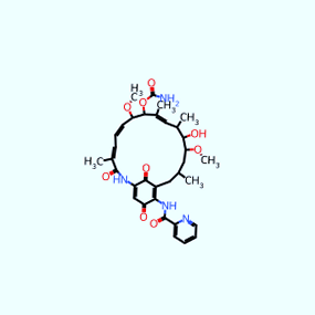 COC1/C=C\C=C(/C)C(=O)NC2=CC(=O)C(NC(=O)c3ccccn3)=C(CC(C)CC(OC)C(O)C(C)/C=C(\C)C1OC(N)=O)C2=O